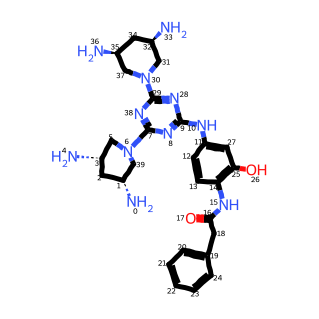 N[C@@H]1C[C@H](N)CN(c2nc(Nc3ccc(NC(=O)Cc4ccccc4)c(O)c3)nc(N3C[C@H](N)C[C@H](N)C3)n2)C1